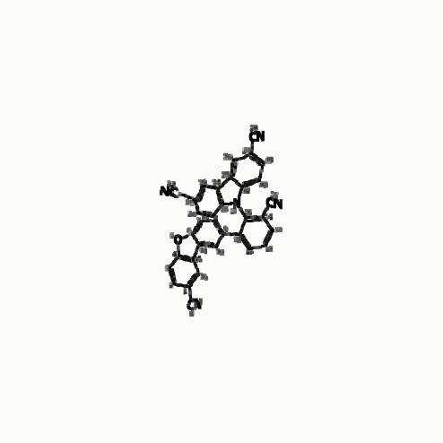 N#Cc1ccc2oc3ccc(-c4cccc(C#N)c4-n4c5ccc(C#N)cc5c5cc(C#N)ccc54)cc3c2c1